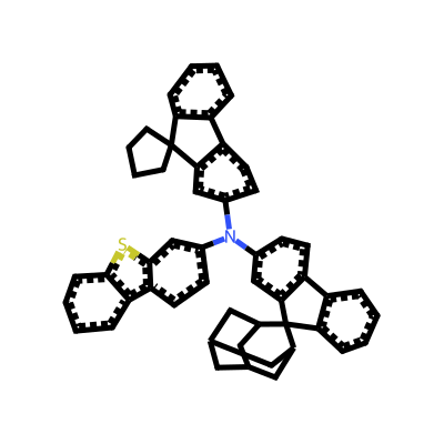 c1ccc2c(c1)-c1ccc(N(c3ccc4c(c3)C3(c5ccccc5-4)C4CC5CC(C4)CC3C5)c3ccc4c(c3)sc3ccccc34)cc1C21CCCC1